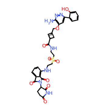 Nc1nnc(-c2ccccc2O)cc1OCC12CC(C(=O)NCCS(=O)(=O)CCNc3cccc4c3C(=O)N(C3CCC(=O)NC3=O)C4=O)(C1)C2